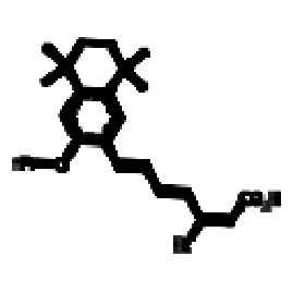 CCCOc1cc2c(cc1/C=C/C=C/C(=C\C(=O)O)CC)C(C)(C)CCC2(C)C